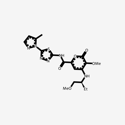 CC[C@@H](COC)Nc1cc(C(=O)Nc2nnc(-n3nccc3C)s2)oc(=O)c1OC